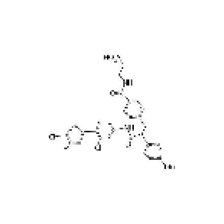 CC(C)(C)c1ccc(C(Cc2ccc(C(=O)NCCS(=O)(=O)O)cc2)C(=O)Nc2ccc(-c3ccc(Cl)c(F)c3)c(Cl)c2)cc1